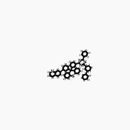 c1ccc(-c2cccc(-c3nc(-c4ccccc4)nc(-c4cccc(C5(c6cccc(-c7ccc8cccnc8c7)c6)c6ccccc6Sc6ccccc65)c4)n3)c2)cc1